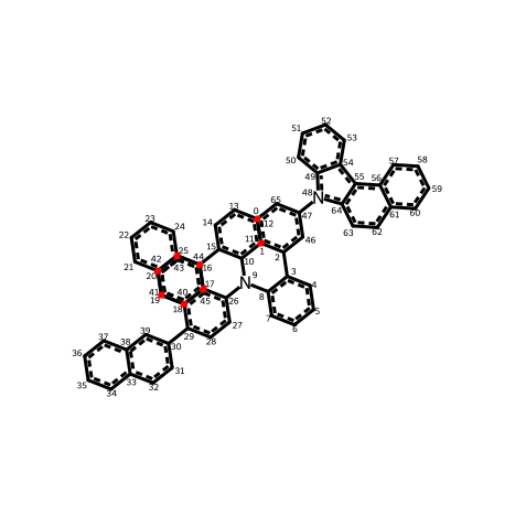 c1cc(-c2ccccc2N(c2ccccc2-c2cccc3ccccc23)c2ccc(-c3ccc4ccccc4c3)c3ccccc23)cc(-n2c3ccccc3c3c4ccccc4ccc32)c1